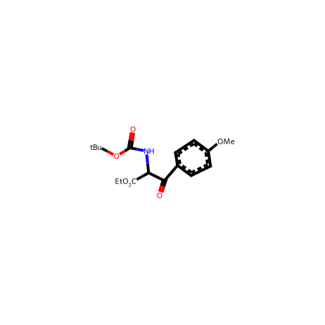 CCOC(=O)C(NC(=O)OC(C)(C)C)C(=O)c1ccc(OC)cc1